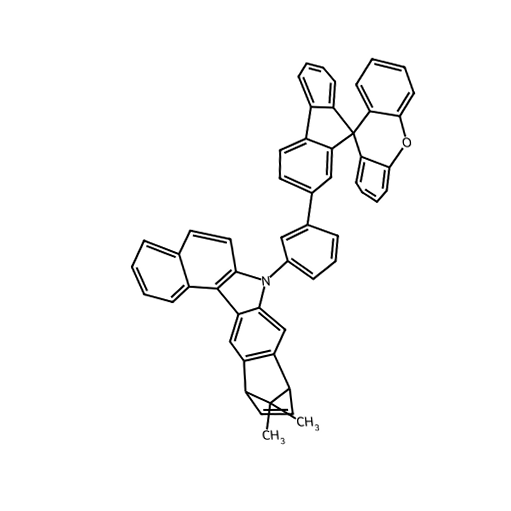 CC1(C)C2C=CC1c1cc3c(cc12)c1c2ccccc2ccc1n3-c1cccc(-c2ccc3c(c2)C2(c4ccccc4Oc4ccccc42)c2ccccc2-3)c1